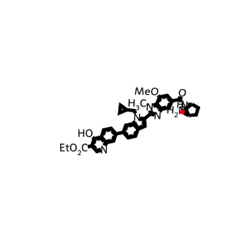 CCOC(=O)c1cnc2cc(-c3ccc4cc(-c5nc6cc(C(=O)N7CC8CCC7[C@@H]8N)cc(OC)c6n5C)n(CC5CC5)c4c3)ccc2c1O